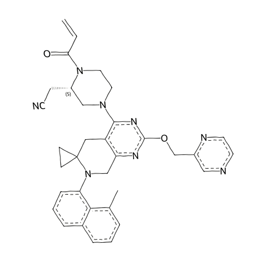 C=CC(=O)N1CCN(c2nc(OCc3cnccn3)nc3c2CC2(CC2)N(c2cccc4cccc(C)c24)C3)C[C@@H]1CC#N